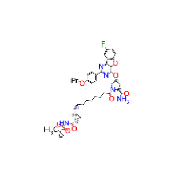 CC(C)Oc1ccc(-c2nc(O[C@@H]3C[C@@H](C(N)=O)N(C(=O)CCCCCC/C=C\[C@@H]4C[C@@H]4C(=O)NS(=O)(=O)C4(C)CC4)C3)c3oc4ccc(F)cc4c3n2)cc1